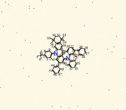 Cc1cc(C(C)(C)C)ccc1N1c2cc3c(cc2B2c4ccc5c(sc6ccccc65)c4N(c4ccccc4C)c4cc(-c5ccccc5)cc1c42)C(C)(C)CCC3(C)C